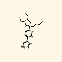 CCC[CH2][Sn]([CH2]CCC)([CH2]CCC)[c]1ccc(-c2cn[nH]c2)cc1